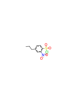 CCCc1ccc(S(=O)(=O)Cl)c([N+](=O)[O-])c1